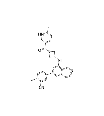 CC1=CC=C(C(=O)N2CC(Nc3cc(-c4ccc(F)c(C#N)c4)cc4ccncc34)C2)CN1